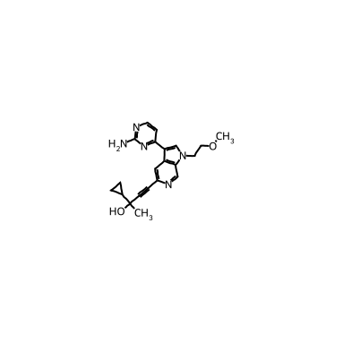 COCCn1cc(-c2ccnc(N)n2)c2cc(C#CC(C)(O)C3CC3)ncc21